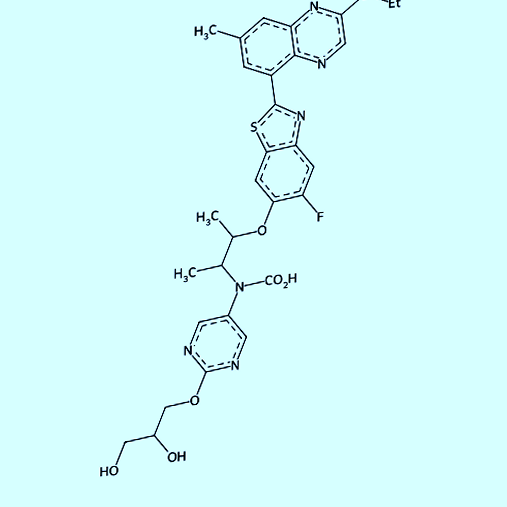 CCOc1cnc2c(-c3nc4cc(F)c(OC(C)C(C)N(C(=O)O)c5cnc(OCC(O)CO)nc5)cc4s3)cc(C)cc2n1